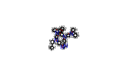 c1ccc(-c2cccc(N(c3ccc(-c4nccnc4-c4ccc(N(c5ccc(-n6c7ccccc7c7ccccc76)cc5)c5cccc(-c6ccccc6)c5)cc4)cc3)c3ccc(-n4c5ccccc5c5ccccc54)cc3)c2)cc1